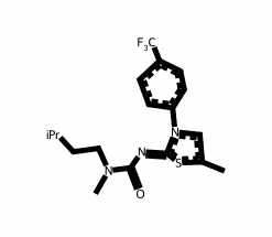 Cc1cn(-c2ccc(C(F)(F)F)cc2)c(=NC(=O)N(C)CCC(C)C)s1